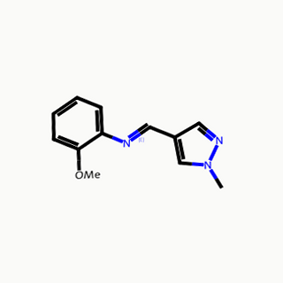 COc1ccccc1/N=C/c1cnn(C)c1